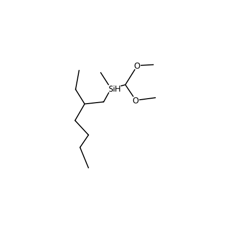 CCCCC(CC)C[SiH](C)C(OC)OC